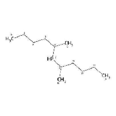 CCCCC(C)PC(C)CCCC